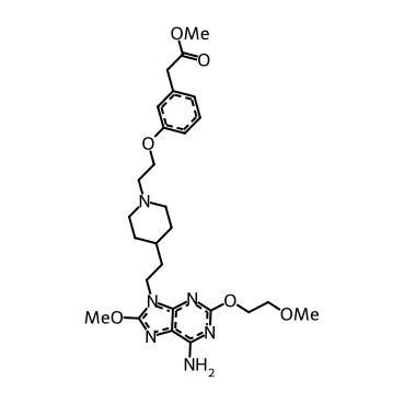 COCCOc1nc(N)c2nc(OC)n(CCC3CCN(CCOc4cccc(CC(=O)OC)c4)CC3)c2n1